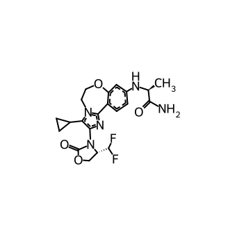 C[C@H](Nc1ccc2c(c1)OCCn1c-2nc(N2C(=O)OC[C@H]2C(F)F)c1C1CC1)C(N)=O